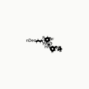 CCCCCCCCCCCCCCOc1c(F)cccc1NC(=O)Nc1cccc(C[n+]2ccsc2)c1.[Br-]